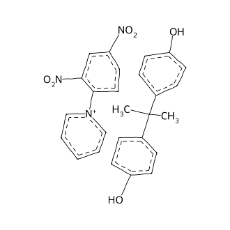 CC(C)(c1ccc(O)cc1)c1ccc(O)cc1.O=[N+]([O-])c1ccc(-[n+]2ccccc2)c([N+](=O)[O-])c1